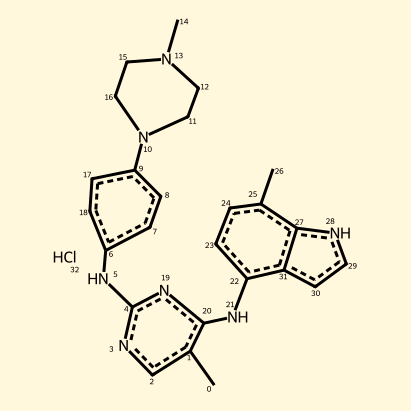 Cc1cnc(Nc2ccc(N3CCN(C)CC3)cc2)nc1Nc1ccc(C)c2[nH]ccc12.Cl